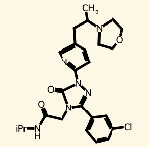 CC(C)NC(=O)Cn1c(-c2cccc(Cl)c2)nn(-c2ccc(CC(C)N3CCOCC3)cn2)c1=O